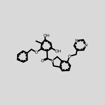 Cc1c(O)cc(O)c(C(=O)N2Cc3cccc(OCc4cncnc4)c3C2)c1OCc1ccccc1